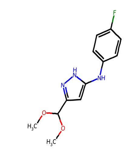 COC(OC)c1cc(Nc2ccc(F)cc2)[nH]n1